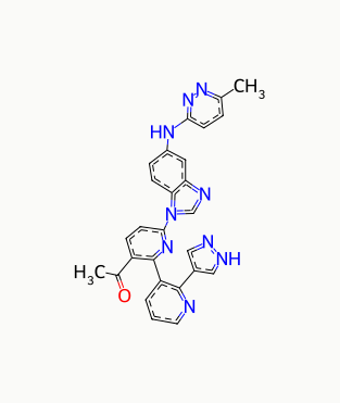 CC(=O)c1ccc(-n2cnc3cc(Nc4ccc(C)nn4)ccc32)nc1-c1cccnc1-c1cn[nH]c1